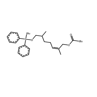 CC(=CCCC(C)CO[Si](c1ccccc1)(c1ccccc1)C(C)(C)C)COC(=O)C(C)(C)C